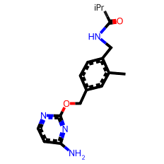 Cc1cc(COc2nccc(N)n2)ccc1CNC(=O)C(C)C